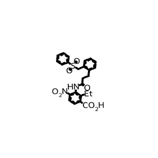 CCc1c(C(=O)O)ccc([N+](=O)[O-])c1NC(=O)CCc1ccccc1CS(=O)(=O)c1ccccc1